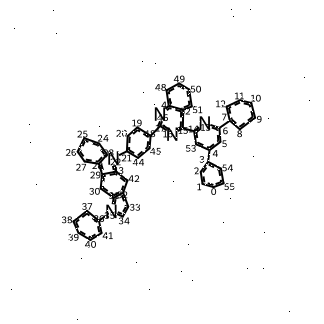 c1ccc(-c2cc(-c3ccccc3)nc(-c3nc(-c4ccc(-n5c6ccccc6c6cc7c(ccn7-c7ccccc7)cc65)cc4)nc4ccccc34)c2)cc1